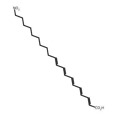 O=C(O)C=CC=CC=CC=CC=CCCCCCCCCC[N+](=O)[O-]